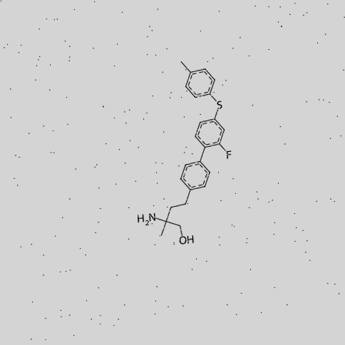 Cc1ccc(Sc2ccc(-c3ccc(CCC(C)(N)CO)cc3)c(F)c2)cc1